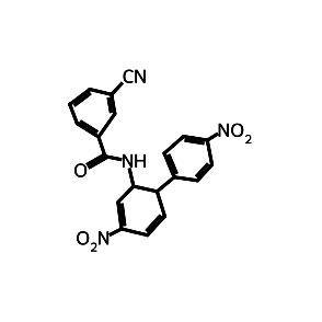 N#Cc1cccc(C(=O)NC2C=C([N+](=O)[O-])C=CC2c2ccc([N+](=O)[O-])cc2)c1